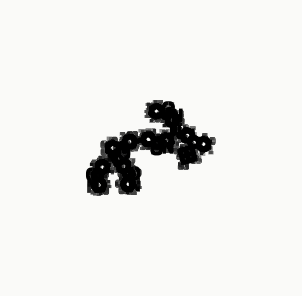 c1ccc2c(c1)-c1ccc(N(c3cnc4oc5ccccc5c4c3)c3cnc4oc5cc(-c6ccc7c(c6)oc6c(N(c8ccc9oc%10ncccc%10c9c8)c8ccc9oc%10ncccc%10c9c8)cccc67)ccc5c4c3)cc1C21C2CC3CC4CC1C342